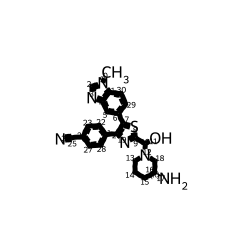 Cn1cnc2cc(-c3sc(C(O)N4CCC[C@@H](N)C4)nc3-c3ccc(C#N)cc3)ccc21